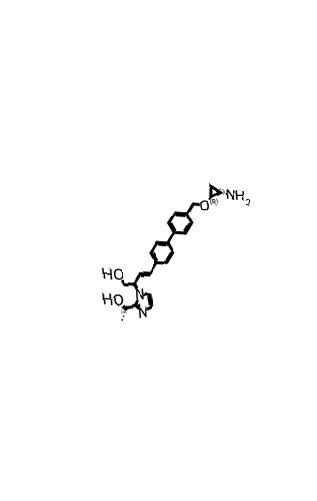 C[C@H](O)c1nccn1C(C=Cc1ccc(-c2ccc(CO[C@@H]3C[C@@H]3N)cc2)cc1)CO